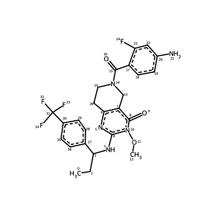 CCC(Nc1nc2c(c(=O)n1OC)CN(C(=O)c1ccc(N)cc1F)CC2)c1ccc(C(F)(F)F)cc1